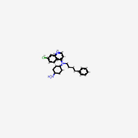 NC1CCC(N(CCCCc2ccccc2)c2ccnc3cc(Cl)ccc23)CC1